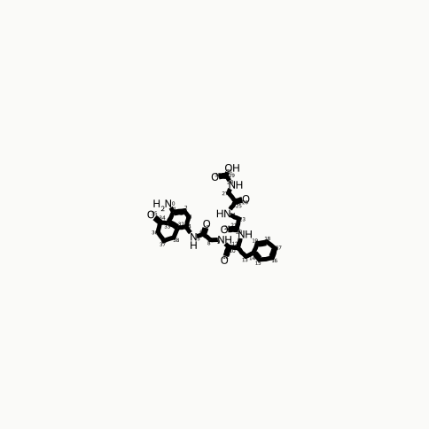 NC1=CCC(NC(=O)CNC(=O)C(Cc2ccccc2)NC(=O)CNC(=O)CNC(=O)O)C2=C1C(=O)CCC2